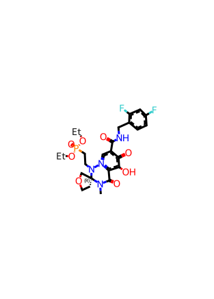 CCOP(=O)(CCN1n2cc(C(=O)NCc3ccc(F)cc3F)c(=O)c(O)c2C(=O)N(C)[C@]12CCOC2)OCC